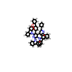 c1ccc(-c2cc(-c3c(-c4ccc5c(c4)oc4ccccc45)c(-n4c5ccccc5c5ccccc54)nc(-n4c5ccccc5c5ccccc54)c3-n3c4ccccc4c4ccccc43)cc(-c3ccccc3)n2)cc1